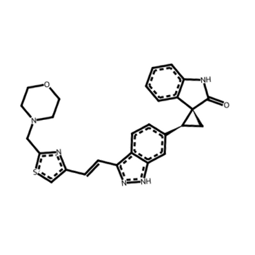 O=C1Nc2ccccc2[C@]12C[C@H]2c1ccc2c(C=Cc3csc(CN4CCOCC4)n3)n[nH]c2c1